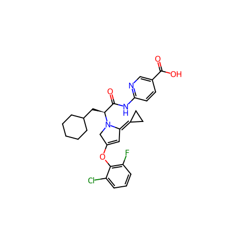 O=C(O)c1ccc(NC(=O)[C@H](CC2CCCCC2)N2CC(Oc3c(F)cccc3Cl)=CC2=C2CC2)nc1